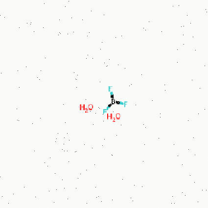 FB(F)F.O.O